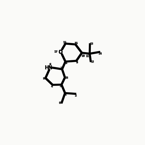 CC(C)C1CCNC(C2CC(C(C)(C)C)CCO2)C1